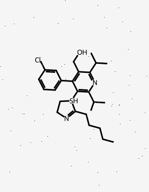 CCCCCC1=NCC[SH]1c1c(C(C)C)nc(C(C)C)c(CO)c1-c1cccc(Cl)c1